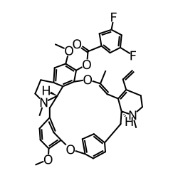 C=CC1=C2/C=C(\C)Oc3c(OC(=O)c4cc(F)cc(F)c4)c(OC)cc4c3[C@H](Cc3ccc(OC)c(c3)Oc3ccc(cc3)C[C@@H]2N(C)CC1)N(C)CC4